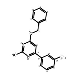 N#Cc1nc(OCc2ccccc2)cc(-c2cccc(C(F)(F)F)c2)n1